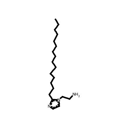 CCCCCCCCCCCCCCCc1nccn1CCN